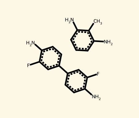 Cc1c(N)cccc1N.Nc1ccc(-c2ccc(N)c(F)c2)cc1F